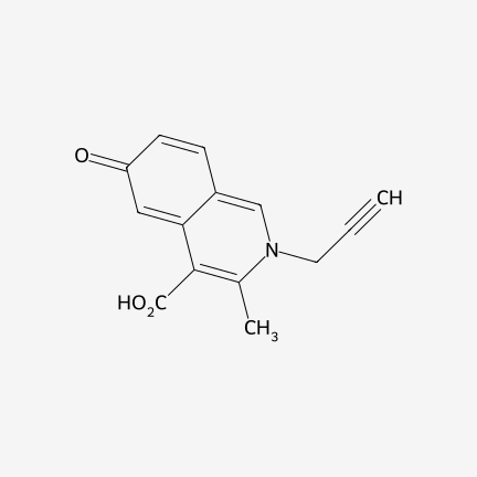 C#CCn1cc2ccc(=O)cc-2c(C(=O)O)c1C